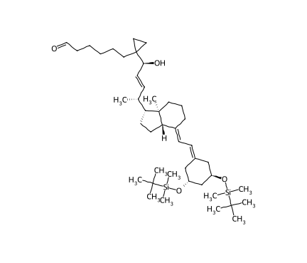 C[C@H](/C=C/[C@H](O)C1(CCCCCC=O)CC1)[C@H]1CC[C@H]2/C(=C/C=C3C[C@@H](O[Si](C)(C)C(C)(C)C)C[C@H](O[Si](C)(C)C(C)(C)C)C3)CCC[C@]12C